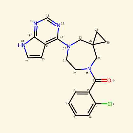 O=C(c1ccccc1Cl)N1CCN(c2ncnc3[nH]ccc23)CC2(CC2)C1